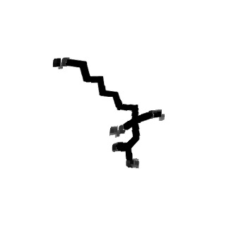 CCCCCCCCC(C)(C)CC(=O)O